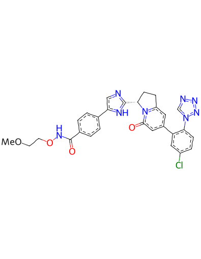 COCCONC(=O)c1ccc(-c2cnc([C@@H]3CCc4cc(-c5cc(Cl)ccc5-n5cnnn5)cc(=O)n43)[nH]2)cc1